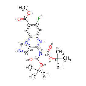 COC(=O)c1cc2c(cc1F)nc(N(C(=O)OC(C)(C)C)C(=O)OC(C)(C)C)c1cncn12